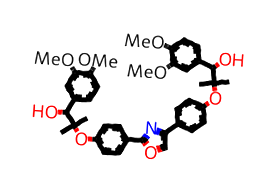 COc1ccc(C(O)C(C)(C)Oc2ccc(-c3coc(-c4ccc(OC(C)(C)C(O)c5ccc(OC)c(OC)c5)cc4)n3)cc2)cc1OC